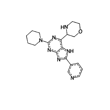 c1cncc(-c2nc3nc(N4CCCCC4)nc(C4COCCN4)c3[nH]2)c1